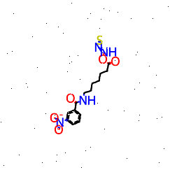 O=C(CCCCCCNC(=O)c1cccc([N+](=O)[O-])c1)ONN=S